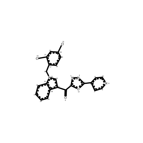 O=C(c1nnc(-c2ccncc2)o1)c1cn(Cc2ccc(Cl)cc2Cl)c2ccccc12